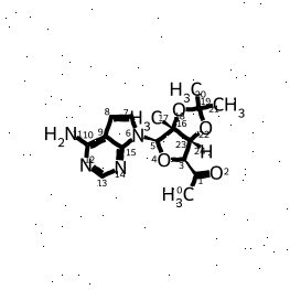 CC(=O)[C@H]1O[C@@H](n2ccc3c(N)ncnc32)[C@]2(C)OC(C)(C)O[C@H]12